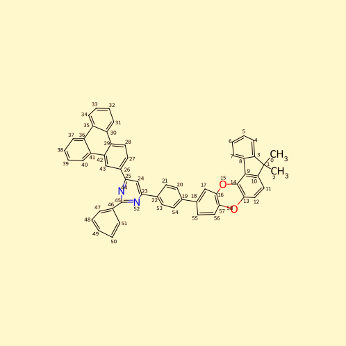 CC1(C)c2ccccc2-c2c1ccc1c2Oc2cc(-c3ccc(-c4cc(-c5ccc6c7ccccc7c7ccccc7c6c5)nc(-c5ccccc5)n4)cc3)ccc2O1